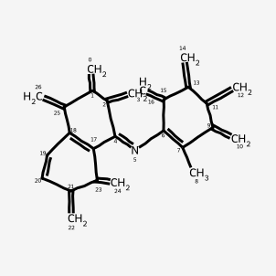 C=C1C(=C)/C(=N\c2c(C)c(=C)c(=C)c(=C)c2=C)c2c(ccc(=C)c2=C)C1=C